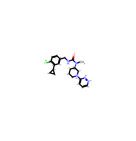 CN(C(=O)NCc1ccc(Cl)c(C2CC2)c1)[C@@H]1CCCN(c2cccnn2)C1